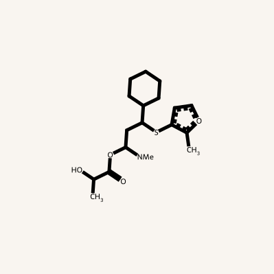 CNC(CC(Sc1ccoc1C)C1CCCCC1)OC(=O)C(C)O